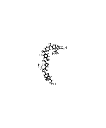 Cn1c(-c2cn(-c3ccc4[nH]c(CCO)cc4n3)nc2C(F)(F)F)cnc1C(=O)Nc1ccc(C(=O)N2CCN(C(=O)C3CC[N+](CC(=O)O)(CC4CNC4)CC3)CC2)c(Cl)c1